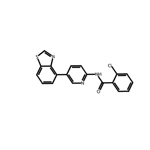 O=C(Nc1ccc(-c2cccc3scnc23)cn1)c1ccccc1Cl